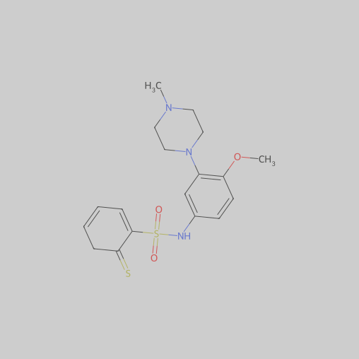 COc1ccc(NS(=O)(=O)C2=CC=CCC2=S)cc1N1CCN(C)CC1